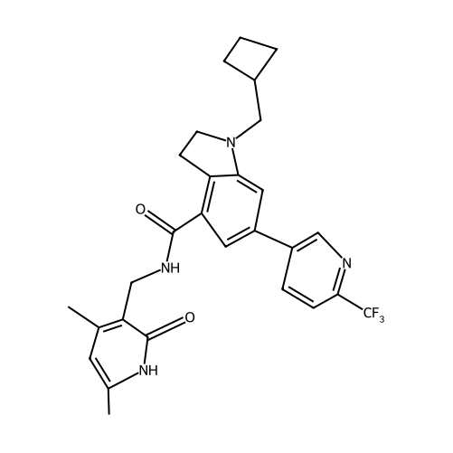 Cc1cc(C)c(CNC(=O)c2cc(-c3ccc(C(F)(F)F)nc3)cc3c2CCN3CC2CCC2)c(=O)[nH]1